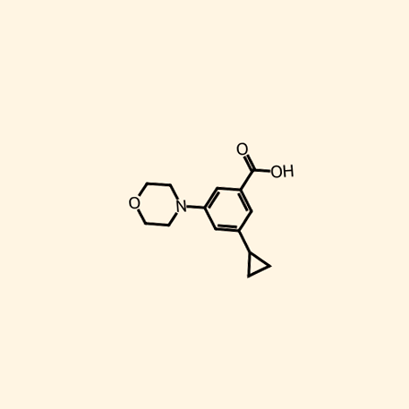 O=C(O)c1cc(C2CC2)cc(N2CCOCC2)c1